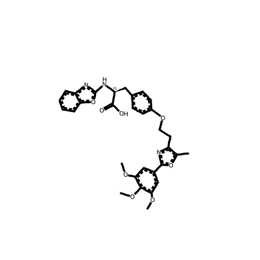 COc1cc(-c2nc(CCOc3ccc(C[C@H](Nc4nc5ccccc5o4)C(=O)O)cc3)c(C)o2)cc(OC)c1OC